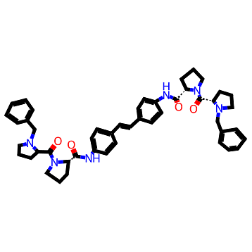 O=C(Nc1ccc(/C=C/c2ccc(NC(=O)[C@@H]3CCCN3C(=O)[C@@H]3CCCN3Cc3ccccc3)cc2)cc1)[C@@H]1CCCN1C(=O)C1CCCN1Cc1ccccc1